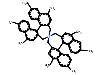 [SiH3]c1ccc2c3c(cc([SiH3])c2c1)C[N+]1(Cc2cc([SiH3])c4cc([SiH3])ccc4c2-3)Cc2cc([SiH3])c3cc([SiH3])ccc3c2-c2c(cc([SiH3])c3cc([SiH3])ccc23)C1